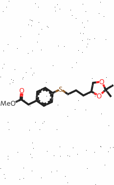 COC(=O)Cc1ccc(SCCCC2COC(C)(C)O2)cc1